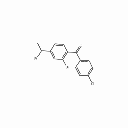 CC(Br)c1ccc(C(=O)c2ccc(Cl)cc2)c(Br)c1